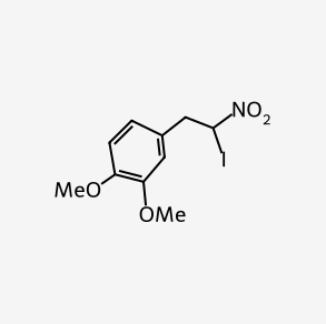 COc1ccc(CC(I)[N+](=O)[O-])cc1OC